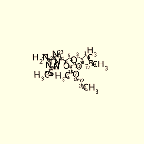 CCCCOCC(O[C@H](COCCCC)C(C)OCCCC)c1cnc2c(N)nc(SC)nn12